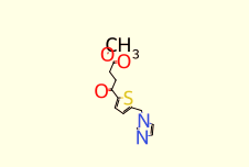 COC(=O)CCC(=O)c1ccc(Cn2ccnc2)s1